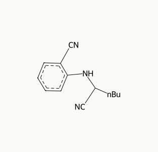 CCCCC(C#N)Nc1ccccc1C#N